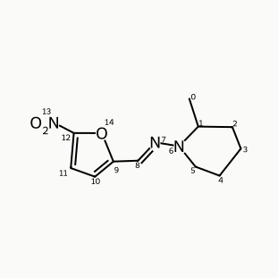 CC1CCCCN1N=Cc1ccc([N+](=O)[O-])o1